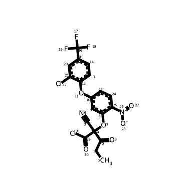 CCC(=O)C(C#N)(Oc1cc(Oc2ccc(C(F)(F)F)cc2Cl)ccc1[N+](=O)[O-])C(=O)Cl